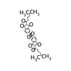 CC(C)CCCC(=O)C1C(=O)c2ccc(S(=O)(=O)c3ccc4c(c3)C(=O)C(C(=O)CCCC(C)C)C4=O)cc2C1=O